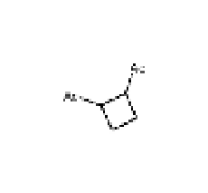 CC(=O)C1CCC1C(C)=O